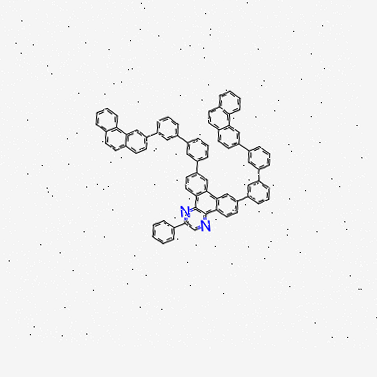 c1ccc(-c2cnc3c4ccc(-c5cccc(-c6cccc(-c7ccc8ccc9ccccc9c8c7)c6)c5)cc4c4cc(-c5cccc(-c6cccc(-c7ccc8ccc9ccccc9c8c7)c6)c5)ccc4c3n2)cc1